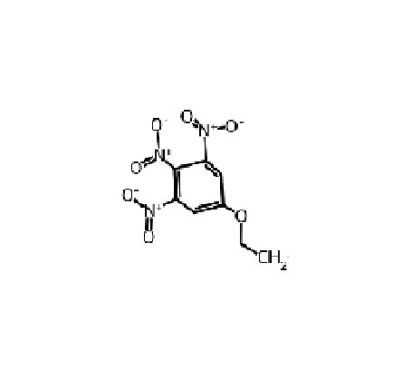 [CH2]COc1cc([N+](=O)[O-])c([N+](=O)[O-])c([N+](=O)[O-])c1